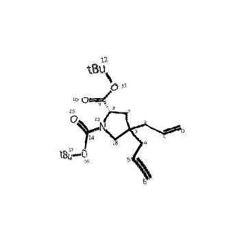 C=CCC1(CC=C)C[C@@H](C(=O)OC(C)(C)C)N(C(=O)OC(C)(C)C)C1